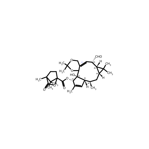 CC1=C[C@H]2[C@H](C)C[C@@H]3[C@H]([C@@H](C=O)/C=C4/COC(C)(C)OC4[C@]2(O)[C@H]1OC(=O)C12CCC(C)(C(=O)O1)C2(C)C)C3(C)C